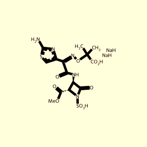 COC(=O)[C@@H]1[C@@H](NC(=O)/C(=N\OC(C)(C)C(=O)O)c2csc(N)n2)C(=O)N1S(=O)(=O)O.[NaH].[NaH]